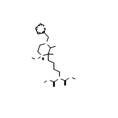 CCOP1(=O)CCN(Cc2ccco2)C(C(C)(C)C)C1(CCCCN(C(=O)OC(C)(C)C)C(=O)OC(C)(C)C)C(=O)O